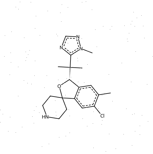 Cc1cc2c(cc1Cl)C1(CCNCC1)O[C@@H]2C(C)(C)c1ncnn1C